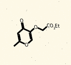 CCOC(=O)COc1coc(C)cc1=O